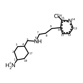 NC1CCC(CNCCCc2cccnc2Cl)CC1